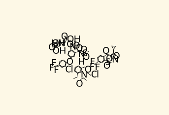 CCc1cccc(C)c1N(C(=O)CCl)C(C)COC.CS(=O)(=O)NC(=O)c1cc(Oc2ccc(C(F)(F)F)cc2Cl)ccc1[N+](=O)[O-].CS(=O)(=O)c1cc(C(F)(F)F)ccc1C(=O)c1cnoc1C1CC1.O=C(O)CNCP(=O)(O)O